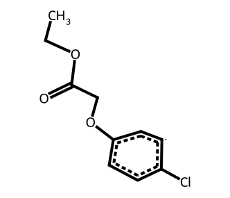 CCOC(=O)COc1c[c]c(Cl)cc1